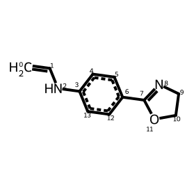 C=CNc1ccc(C2=NCCO2)cc1